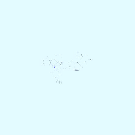 CC1(C)C2=C(CCC=C2)c2c#cc3c(sc4ccc(-c5cc(C#N)ccc5-n5c6ccccc6c6ccccc65)cc43)c21